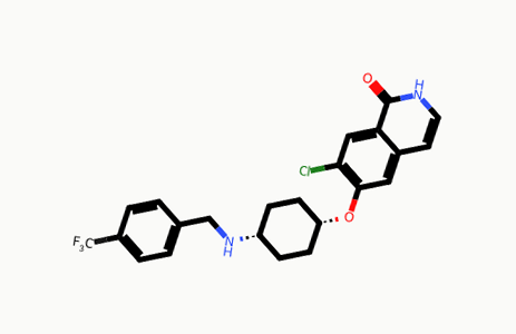 O=c1[nH]ccc2cc(O[C@H]3CC[C@@H](NCc4ccc(C(F)(F)F)cc4)CC3)c(Cl)cc12